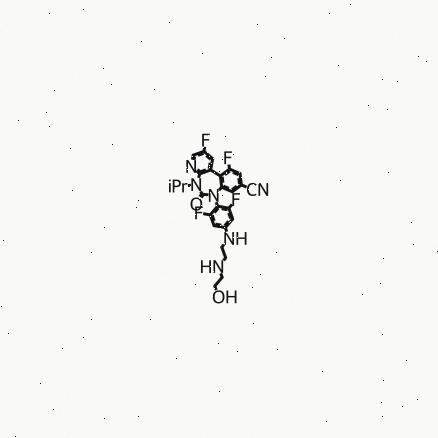 CC(C)N1C(=O)N(c2c(F)cc(NCCNCCO)cc2F)c2cc(C#N)cc(F)c2-c2cc(F)cnc21